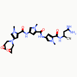 Cn1cc(NC(=O)c2cc(N(CC3CO3)CC3CO3)cn2C)cc1C(=O)Nc1cc(C(=O)NC(C#N)CC(=N)N)n(C)c1